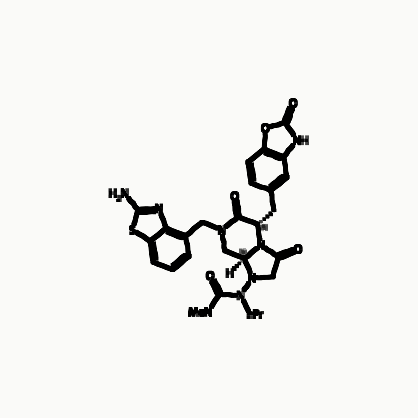 CCCN(C(=O)NC)N1CC(=O)N2[C@@H](Cc3ccc4oc(=O)[nH]c4c3)C(=O)N(Cc3cccc4sc(N)nc34)C[C@@H]21